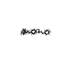 c1ccc(CCCOc2ccc(CCn3cncn3)cc2)cc1